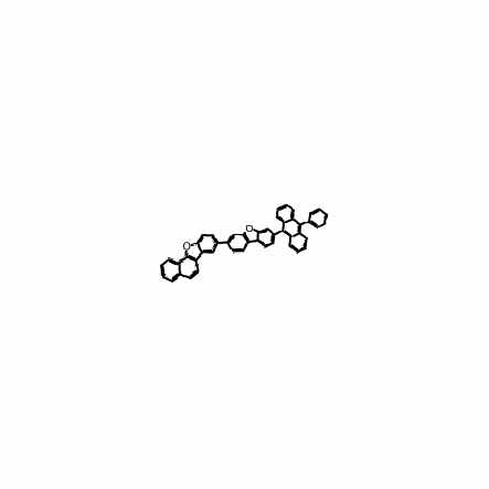 c1ccc(-c2c3ccccc3c(-c3ccc4c(c3)oc3cc(-c5ccc6oc7c8ccccc8ccc7c6c5)ccc34)c3ccccc23)cc1